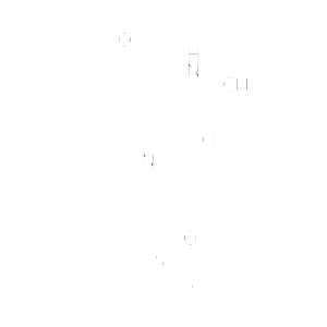 CNC1C(=O)N(CC2CCCCS2(=O)=O)CCc2ccoc21